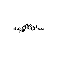 CCCCOC(=O)Nc1ccc2ncn(Cc3ccc(C(=O)OC)cc3OC)c2c1